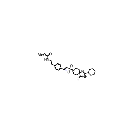 COC(=O)NCCc1ccc(/C=C/S(=O)(=O)N2CCC3(CC2)N=C(C2CCCCC2)NC3=O)cc1